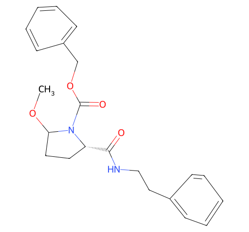 COC1CC[C@@H](C(=O)NCCc2ccccc2)N1C(=O)OCc1ccccc1